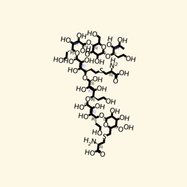 C/C(O)=C(/O)[C@@H](CCO)O[C@H]1OC(CO)[C@@H](O[C@@H](O)/C(O)=C(/O)[C@@H](CCO)O[C@H](O)/C(O)=C(\O)[C@@H](CCSC[C@@H](N)C(=O)O)O[C@H](O)/C(O)=C(\O)[C@@H](CCO)O[C@H](O)/C(O)=C(\O)[C@@H](CCO)O[C@H]2OC(CSC[C@@H](N)C(=O)O)[C@@H](OO)C(O)C2O)C(O)C1O